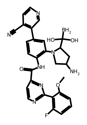 BC(O)(O)C1CC(N)CN1c1cc(-c2cnccc2C#N)ccc1NC(=O)c1ccnc(-c2c(F)cccc2OC)n1